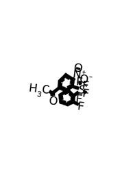 CC(=O)c1ccc([N+](=O)[O-])c(S(F)(F)(F)(F)c2ccccc2F)c1